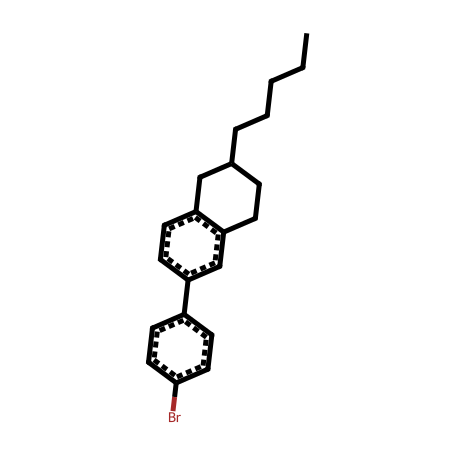 CCCCCC1CCc2cc(-c3ccc(Br)cc3)ccc2C1